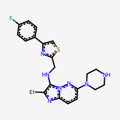 CCc1nc2ccc(N3CCNCC3)nn2c1NCc1nc(-c2ccc(F)cc2)cs1